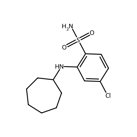 NS(=O)(=O)c1ccc(Cl)cc1NC1CCCCCC1